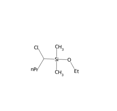 CCCC(Cl)[Si](C)(C)OCC